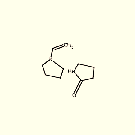 C=CN1CCCC1.O=C1CCCN1